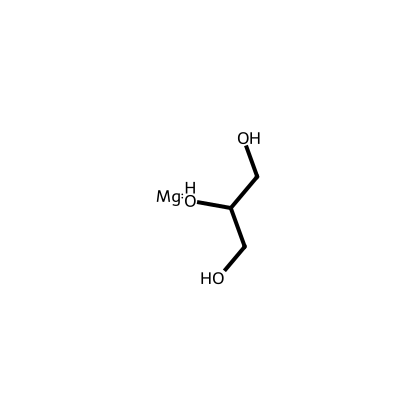 OCC(O)CO.[Mg]